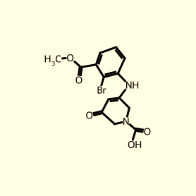 COC(=O)c1cccc(NC2=CC(=O)CN(C(=O)O)C2)c1Br